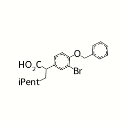 CCCC(C)CC(C(=O)O)c1ccc(OCc2ccccc2)c(Br)c1